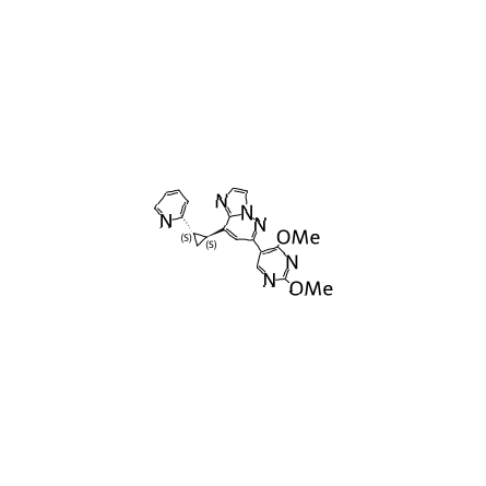 COc1ncc(-c2cc([C@H]3C[C@@H]3c3ccccn3)c3nccn3n2)c(OC)n1